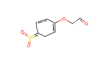 O=[C]COC1=CCC(=S(=O)=O)C=C1